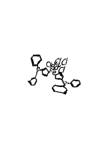 Cl[CH](Cl)[Pd]([Cl])([Cl])[Fe]([CH]1C=CC(P(c2ccccc2)c2ccccc2)=C1)[CH]1C=CC(P(c2ccccc2)c2ccccc2)=C1